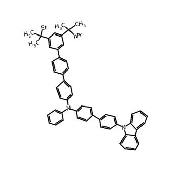 CCCC(C)(C)c1cc(-c2ccc(-c3ccc(N(c4ccccc4)c4ccc(-c5ccc(-n6c7ccccc7c7ccccc76)cc5)cc4)cc3)cc2)cc(C(C)(C)CC)c1